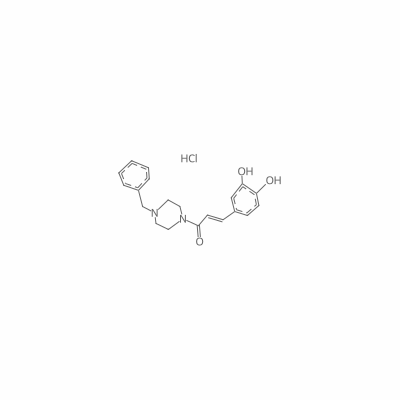 Cl.O=C(C=Cc1ccc(O)c(O)c1)N1CCN(Cc2ccccc2)CC1